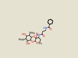 CNC1C(O)C(NC)[C@H](O)C2OC3O[C@H](C)CC(NC(=O)CCNC(=O)c4ccccc4)C3(O)OC12